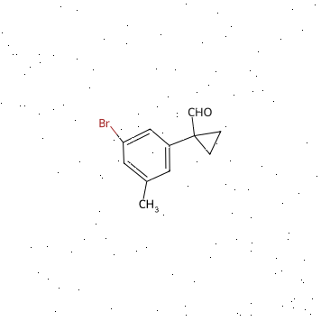 Cc1cc(Br)cc(C2(C=O)CC2)c1